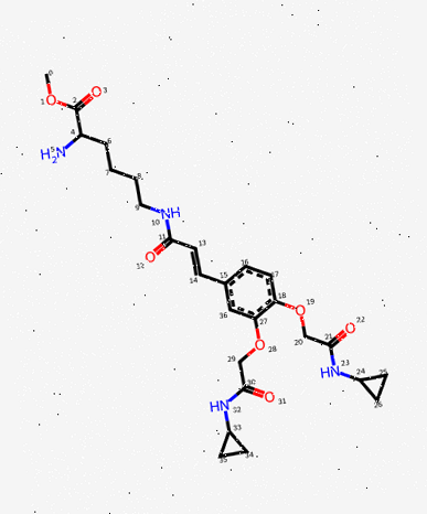 COC(=O)C(N)CCCCNC(=O)/C=C/c1ccc(OCC(=O)NC2CC2)c(OCC(=O)NC2CC2)c1